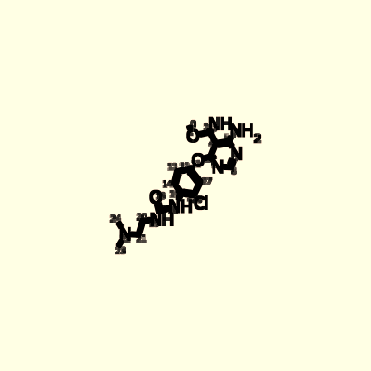 COC(=N)c1c(N)ncnc1Oc1ccc(NC(=O)NCCN(C)C)c(Cl)c1